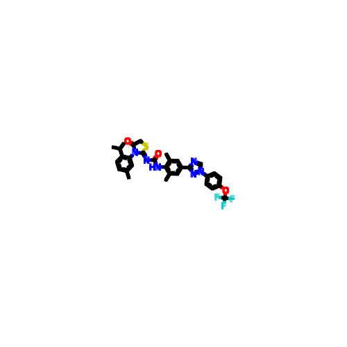 Cc1ccc(C(C)C)c(N2C(=O)CSC2=NC(=O)Nc2c(C)cc(-c3ncn(-c4ccc(OC(F)(F)F)cc4)n3)cc2C)c1